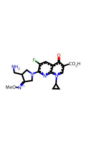 CO/N=C1/CN(c2nc3c(cc2F)c(=O)c(C(=O)O)cn3C2CC2)CC1CN